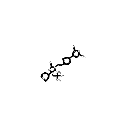 Cc1cc(-c2ccc(CCN3C[C@](CC(C)(C)O)(c4ccccc4)OC3=O)cc2)cc(=O)[nH]1